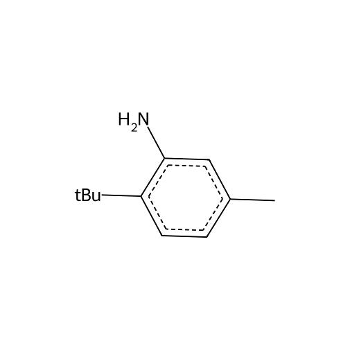 Cc1ccc(C(C)(C)C)c(N)c1